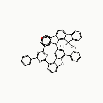 CC1(C)c2ccccc2-c2ccc3c4ccccc4n(-c4cc(-c5ccccc5)c5oc6cccc(-c7nc(-c8ccccc8)nc(-c8ccccc8)n7)c6c5c4)c3c21